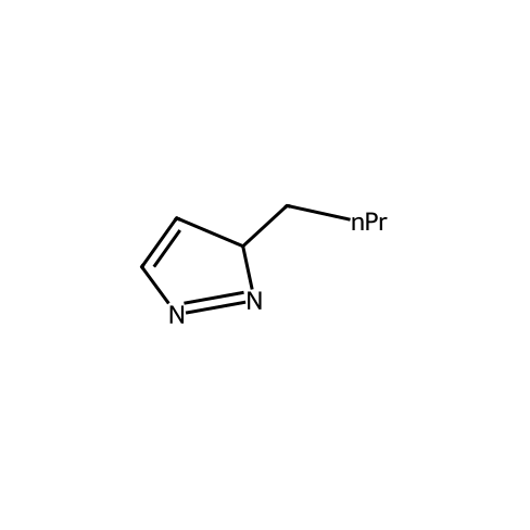 CCCCC1C=CN=N1